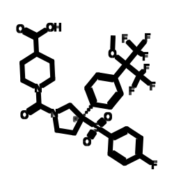 COC(c1ccc([C@]2(S(=O)(=O)c3ccc(F)cc3)CCN(C(=O)N3CCC(C(=O)O)CC3)C2)cc1)(C(F)(F)F)C(F)(F)F